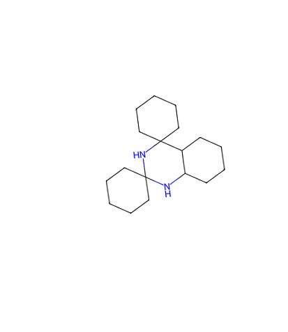 C1CCC2(CC1)NC1CCCCC1C1(CCCCC1)N2